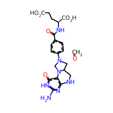 C=O.Nc1nc2c(c(=O)[nH]1)N1CN(c3ccc(C(=O)N[C@@H](CCC(=O)O)C(=O)O)cc3)CC1CN2